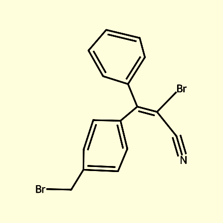 N#CC(Br)=C(c1ccccc1)c1ccc(CBr)cc1